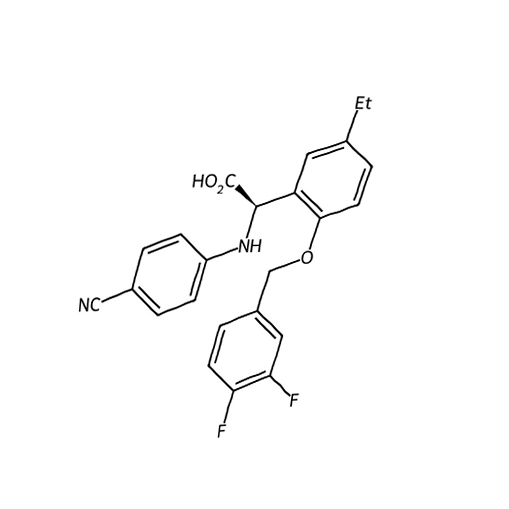 CCc1ccc(OCc2ccc(F)c(F)c2)c([C@@H](Nc2ccc(C#N)cc2)C(=O)O)c1